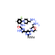 CNc1nc(-c2c[nH]c(C(=O)Nc3cccc(F)c3N3CCC(CN)CC3)n2)cc(N2CCO[C@H](CN)C2)n1